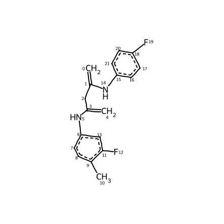 C=C(CC(=C)Nc1ccc(C)c(F)c1)Nc1ccc(F)cc1